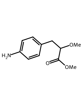 COC(=O)C(Cc1ccc(N)cc1)OC